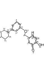 O=c1cc(COc2cccc(N3CCCCC3)c2)[nH]nc1O